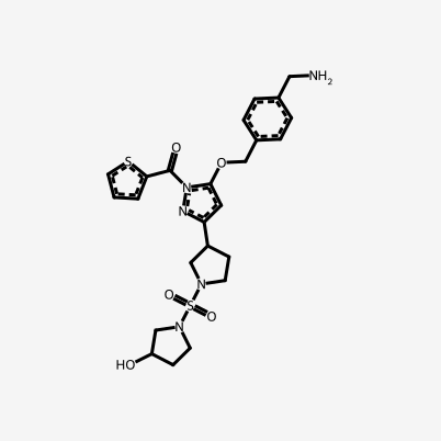 NCc1ccc(COc2cc(C3CCN(S(=O)(=O)N4CCC(O)C4)C3)nn2C(=O)c2cccs2)cc1